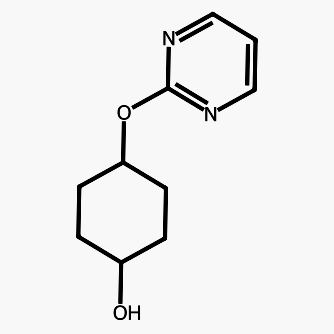 OC1CCC(Oc2ncccn2)CC1